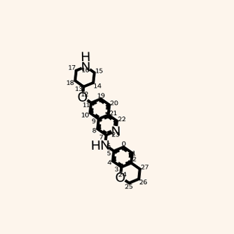 c1cc2c(cc1Nc1cc3cc(OC4CCNCC4)ccc3cn1)OCCC2